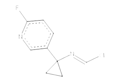 Fc1ccc(C2(/N=C/Cl)CC2)cn1